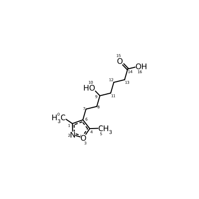 Cc1noc(C)c1CCC(O)CCCC(=O)O